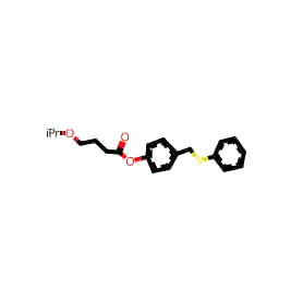 CC(C)OCCCC(=O)Oc1ccc(CSc2ccccc2)cc1